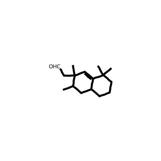 CC1CC2CCCC(C)(C)C2=CC1(C)CC=O